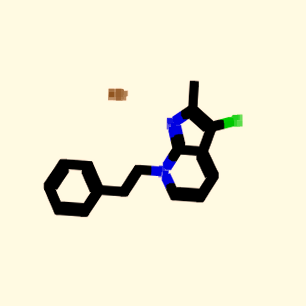 Br.Cc1nc2n(CCc3ccccc3)cccc-2c1Cl